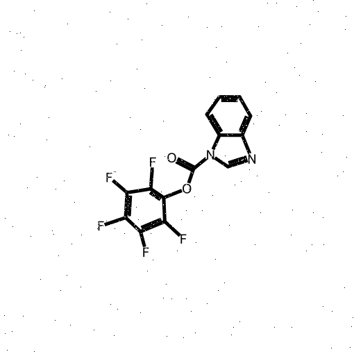 O=C(Oc1c(F)c(F)c(F)c(F)c1F)n1cnc2ccccc21